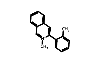 Cc1ccccc1-c1cc2ccccc2c[n+]1C